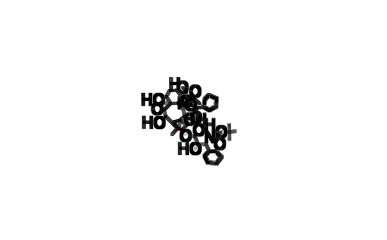 CC(=O)O[C@@]12CO[C@@H]1C[C@H](O)[C@@]1(C)C(=O)[C@H](O)C3=C(C)[C@@H](OC(=O)[C@@H](O)[C@@H](NC(=O)OC(C)(C)C)c4ccccc4)C[C@@](O)([C@@H](OC(=O)c4ccccc4)[C@H]21)C3(C)C